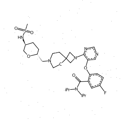 CC(C)N(C(=O)c1cc(F)ccc1Oc1cncnc1N1CC2(CCN(C[C@H]3CC[C@H](NS(C)(=O)=O)CO3)CC2)C1)C(C)C